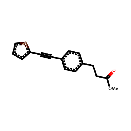 COC(=O)CCc1ccc(C#Cc2cccs2)cc1